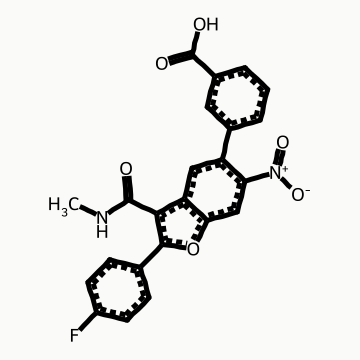 CNC(=O)c1c(-c2ccc(F)cc2)oc2cc([N+](=O)[O-])c(-c3cccc(C(=O)O)c3)cc12